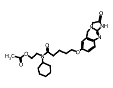 CC(=O)OCCN(C(=O)CCCCOc1ccc2c(c1)CN1CC(=O)NC1=N2)C1CCCCC1